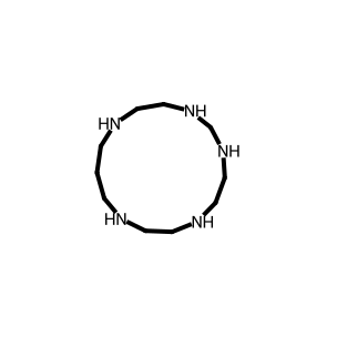 C1CNCCNCCNCNCCNC1